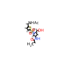 C=CC(=O)NC1CC(CO)N(S(=O)(=O)c2ccc(CNC(C)=O)s2)C1